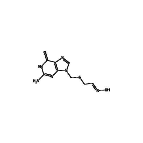 Nc1nc2c(ncn2CSCC=NO)c(=O)[nH]1